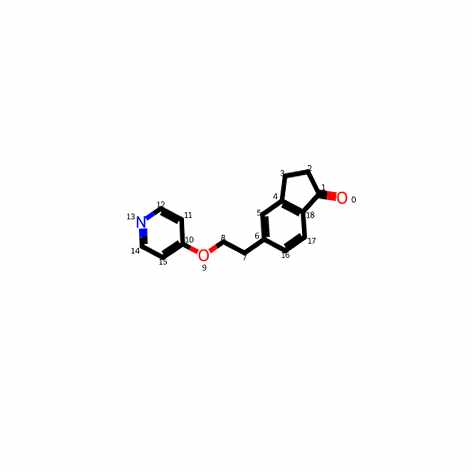 O=C1CCc2cc(CCOc3ccncc3)ccc21